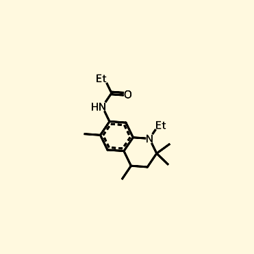 CCC(=O)Nc1cc2c(cc1C)C(C)CC(C)(C)N2CC